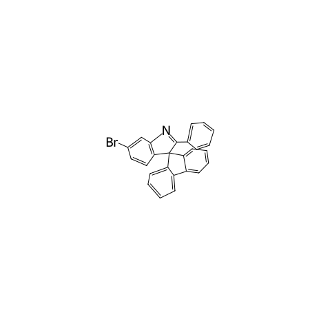 Brc1ccc2c(c1)N=C(c1ccccc1)C21c2ccccc2-c2ccccc21